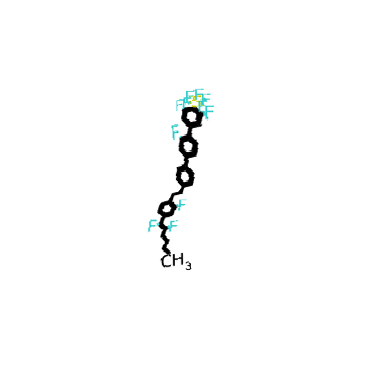 CCCCC/C(F)=C(\F)c1ccc(CCc2ccc(-c3ccc(-c4cc(F)c(S(F)(F)(F)(F)F)c(F)c4)c(F)c3)cc2)c(F)c1